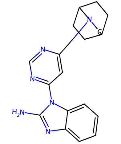 Nc1nc2ccccc2n1-c1cc(N2CC3CCC(CC3)C2)ncn1